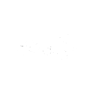 CCOP(OCC)C(N(OC(C)c1ccc(C(C)ON(C(C(C)(C)C)P(=O)(OCC)OCC)C(C)(C)C)cc1)C(C)(C)C)C(C)(C)C